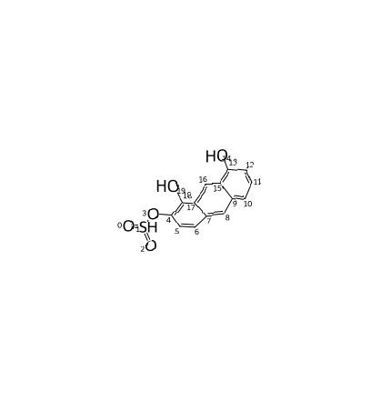 O=[SH](=O)Oc1ccc2cc3cccc(O)c3cc2c1O